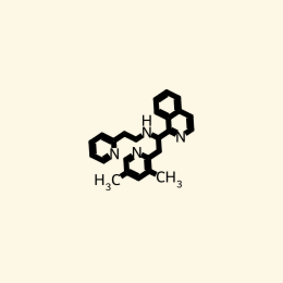 Cc1cnc(CC(NCCc2ccccn2)c2nccc3ccccc23)c(C)c1